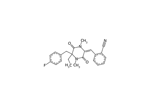 CCC1(Cc2ccc(F)cc2)C(=O)N(C)C(=Cc2ccccc2C#N)C(=O)N1C